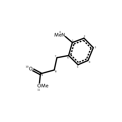 CNc1ccccc1CCC(=O)OC